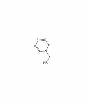 SCN1C=CC=CC1